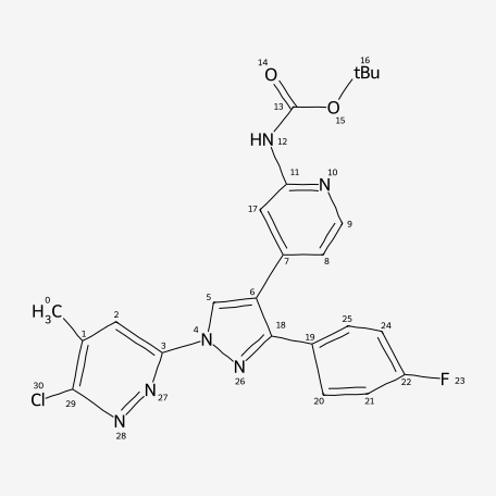 Cc1cc(-n2cc(-c3ccnc(NC(=O)OC(C)(C)C)c3)c(-c3ccc(F)cc3)n2)nnc1Cl